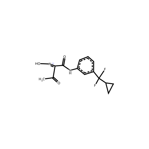 CC(=O)/C(=N\O)C(=O)Nc1cccc(C(F)(F)C2CC2)c1